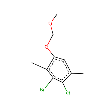 COCOc1cc(C)c(Cl)c(Br)c1C